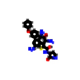 Nc1ccc2c3c(c(C(=O)NC4CCNC4=O)sc13)C(N)C(=O)C2(N)c1ccc(Oc2ccccc2)cc1